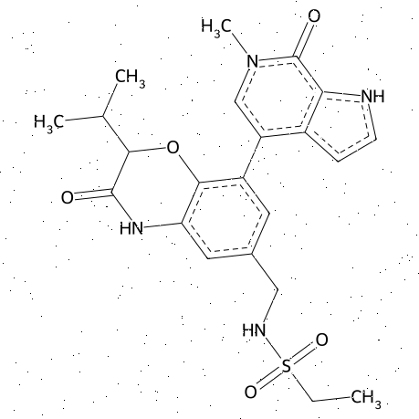 CCS(=O)(=O)NCc1cc2c(c(-c3cn(C)c(=O)c4[nH]ccc34)c1)OC(C(C)C)C(=O)N2